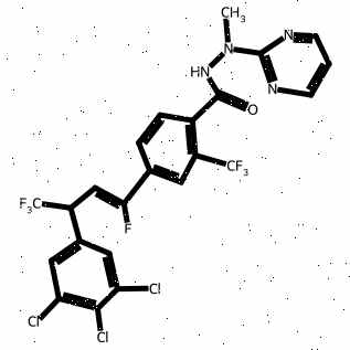 CN(NC(=O)c1ccc(/C(F)=C/C(c2cc(Cl)c(Cl)c(Cl)c2)C(F)(F)F)cc1C(F)(F)F)c1ncccn1